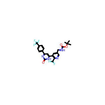 CC(C)(C)OC(=O)NCc1cnc(C(F)F)c(-c2cc(-c3ccc(C(F)(F)F)cc3)nc(=O)[nH]2)c1